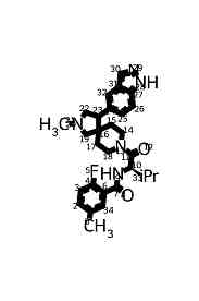 Cc1ccc(F)c(C(=O)N[C@@H](C(=O)N2CCC3(CC2)CN(C)CC3c2ccc3[nH]ncc3c2)C(C)C)c1